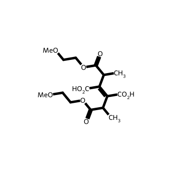 COCCOC(=O)C(C)C(C(=O)O)=C(C(=O)O)C(C)C(=O)OCCOC